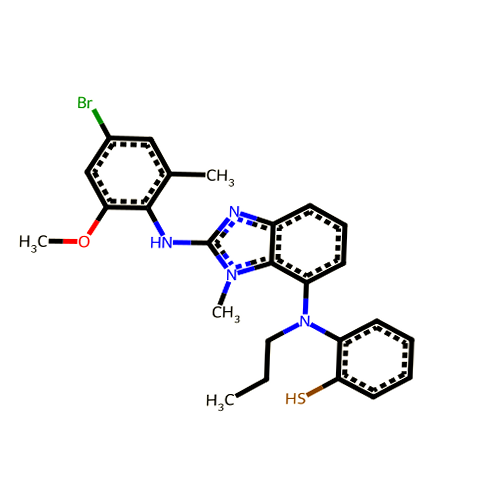 CCCN(c1ccccc1S)c1cccc2nc(Nc3c(C)cc(Br)cc3OC)n(C)c12